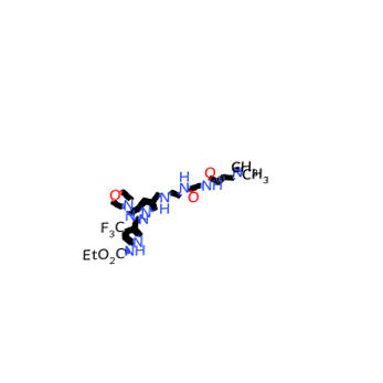 CCOC(=O)Nc1cc(C(F)(F)F)c(-c2nc(N3CCOCC3)c3cc(CNCCNC(=O)CNC(=O)/C=C/CN(C)C)cn3n2)cn1